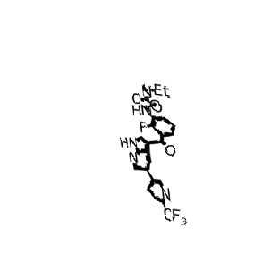 CCN(C)S(=O)(=O)Nc1cccc(C(=O)c2c[nH]c3ncc(-c4ccc(C(F)(F)F)nc4)cc23)c1F